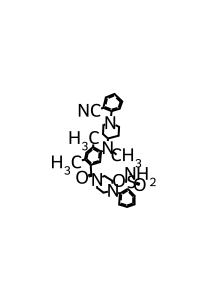 Cc1cc(C)c(N(C)C2CCN(c3ccccc3C#N)CC2)cc1C(=O)N1CCN(c2ccccc2S(N)(=O)=O)CC1